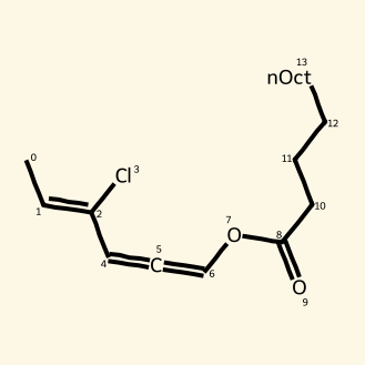 CC=C(Cl)C=C=COC(=O)CCCCCCCCCCC